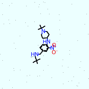 C[C@H](NCc1ccc(NC2CCN(C(C)(C)C)CC2)c([N+](=O)[O-])c1)C(C)(C)C